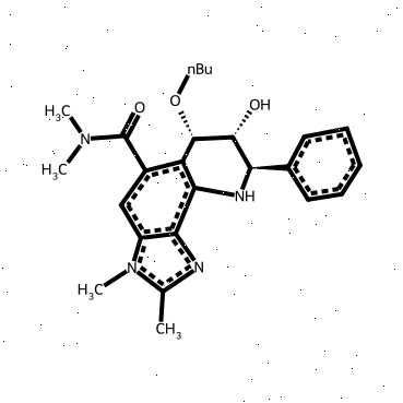 CCCCO[C@H]1c2c(C(=O)N(C)C)cc3c(nc(C)n3C)c2N[C@H](c2ccccc2)[C@H]1O